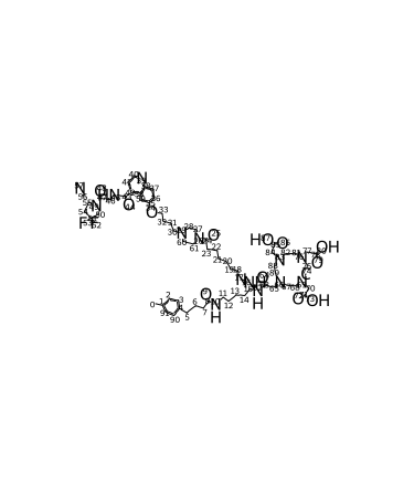 Cc1ccc(CCCC(=O)NCCCCC(N/N=C/CCCCCC(=O)N2CCN(CCCCOc3ccc4nccc(C(=O)NCC(=O)N5CC(F)(F)C[C@@H]5C#N)c4c3)CC2)NC(=O)CN2CCN(CC(=O)O)CCN(CC(=O)O)CCN(CC(=O)O)CC2)cc1